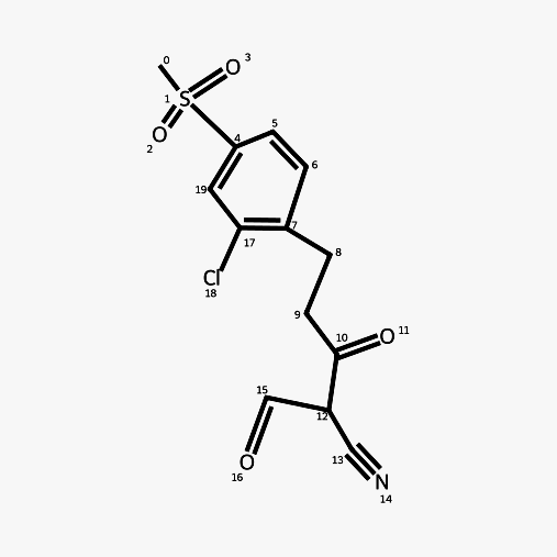 CS(=O)(=O)c1ccc(CCC(=O)C(C#N)C=O)c(Cl)c1